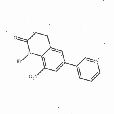 CC(C)N1C(=O)CCc2cc(-c3cccnc3)cc([N+](=O)[O-])c21